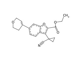 CCOC(=O)c1oc2cc(C3=CCOCC3)ccc2c1C1(C#N)CC1